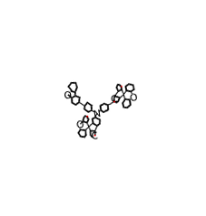 c1ccc2c(c1)Oc1ccccc1C21c2ccccc2-c2cc(-c3ccc(N(c4ccc(-c5ccc6oc7ccccc7c6c5)cc4)c4ccc5c(c4)C4(c6ccccc6Oc6ccccc64)c4ccccc4-5)cc3)ccc21